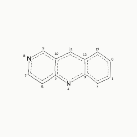 c1ccc2nc3ccncc3cc2c1